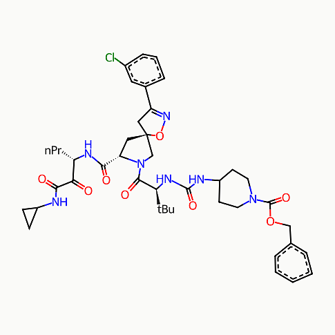 CCC[C@H](NC(=O)[C@@H]1C[C@]2(CC(c3cccc(Cl)c3)=NO2)CN1C(=O)[C@@H](NC(=O)NC1CCN(C(=O)OCc2ccccc2)CC1)C(C)(C)C)C(=O)C(=O)NC1CC1